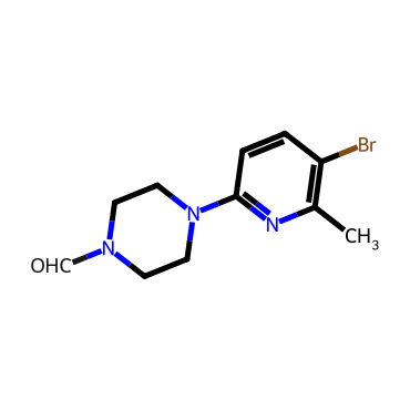 Cc1nc(N2CCN(C=O)CC2)ccc1Br